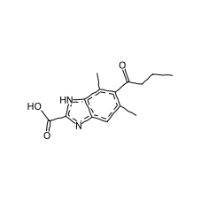 CCCC(=O)c1c(C)cc2nc(C(=O)O)[nH]c2c1C